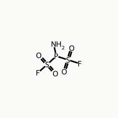 NP(S(=O)(=O)F)S(=O)(=O)F